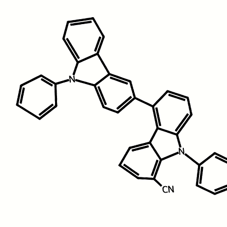 N#Cc1cccc2c3c(-c4ccc5c(c4)c4ccccc4n5-c4ccccc4)cccc3n(-c3ccccc3)c12